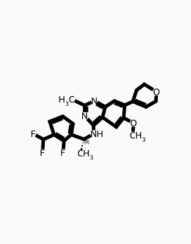 COc1cc2c(N[C@H](C)c3cccc(C(F)F)c3F)nc(C)nc2cc1C1=CCOCC1